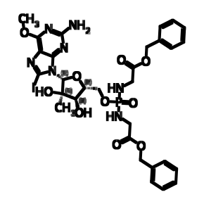 COc1nc(N)nc2c1nc(I)n2[C@@H]1O[C@H](COP(=O)(NCC(=O)OCc2ccccc2)NCC(=O)OCc2ccccc2)[C@@H](O)[C@@]1(C)O